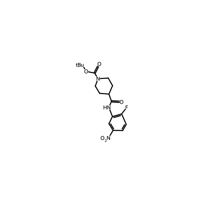 CC(C)(C)OC(=O)N1CCC(C(=O)Nc2cc([N+](=O)[O-])ccc2F)CC1